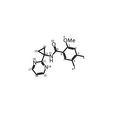 COc1cc(C)c(I)cc1C(=O)NC1(c2ncccn2)CC1